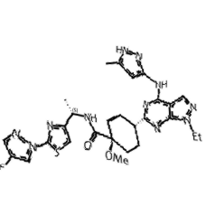 CCn1ncc2c(Nc3cc(C)[nH]n3)nc([C@H]3CC[C@@](OC)(C(=O)N[C@@H](C)c4csc(-n5cc(F)cn5)n4)CC3)nc21